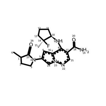 CC1CCN(c2cc3c(N[C@@H]4CCC[C@]4(C)F)c(C(N)=O)cnn3c2)C1=O